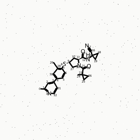 Cc1cc(-c2ccc(S[C@@H]3C[C@@H](C(=O)NC4(C#N)CC4)N(C(=O)C4(C)CC4)C3)c(C)c2)ccn1